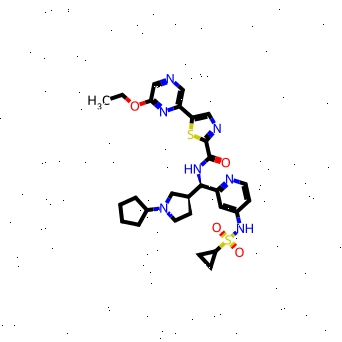 CCOc1cncc(-c2cnc(C(=O)N[C@@H](c3cc(NS(=O)(=O)C4CC4)ccn3)[C@H]3CCN(C4CCCC4)C3)s2)n1